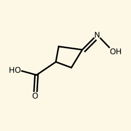 O=C(O)C1CC(=NO)C1